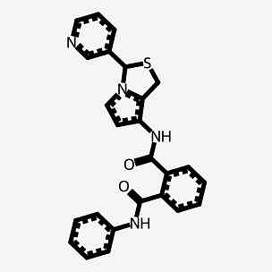 O=C(Nc1ccccc1)c1ccccc1C(=O)Nc1ccn2c1CSC2c1cccnc1